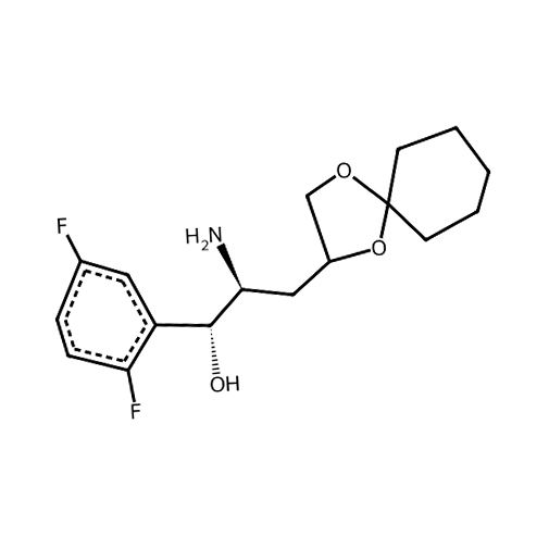 N[C@@H](CC1COC2(CCCCC2)O1)[C@H](O)c1cc(F)ccc1F